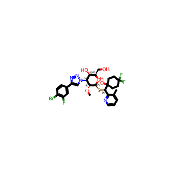 CO[C@@H]1[C@@H](n2cc(-c3ccc(Br)c(F)c3)nn2)[C@@H](O)[C@@H](CO)O[C@H]1S[C@H](c1ncccc1C)C1(O)CCC(F)(F)CC1